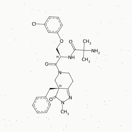 CN1N=C2CCN(C(=O)[C@@H](COc3cccc(Cl)c3)NC(=O)C(C)(C)N)C[C@@]2(Cc2ccccc2)C1=O